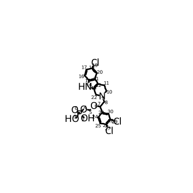 O=P(O)(O)OCOC(CN1CCc2c([nH]c3ccc(Cl)cc23)C1)c1ccc(Cl)c(Cl)c1